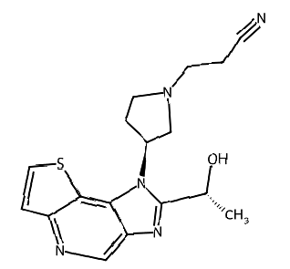 C[C@@H](O)c1nc2cnc3ccsc3c2n1[C@H]1CCN(CCC#N)C1